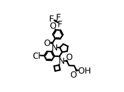 O=C(O)CCC(=O)N(C1CCC1)C1c2ccc(Cl)cc2N(C(=O)c2cccc(OC(F)(F)F)c2)C2CCCC21